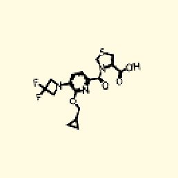 O=C(O)C1CSCN1C(=O)c1ccc(N2CC(F)(F)C2)c(OCC2CC2)n1